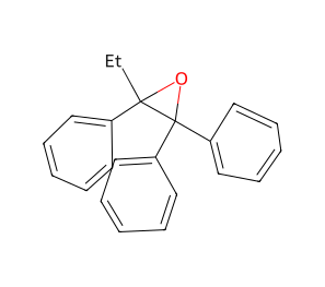 CCC1(c2ccccc2)OC1(c1ccccc1)c1ccccc1